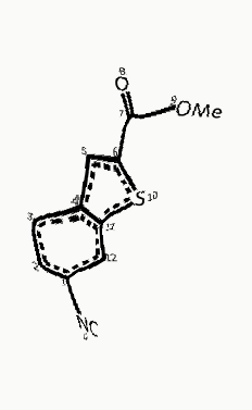 [C-]#[N+]c1ccc2cc(C(=O)OC)sc2c1